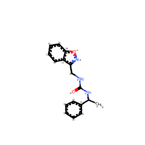 CC(NC(=O)NCc1noc2ccccc12)c1ccccc1